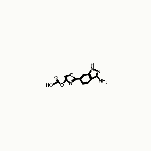 Nc1n[nH]c2cc(-c3nc(OC(=O)O)co3)ccc12